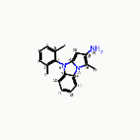 Cc1cccc(C)c1-n1c2ccccc2n2c(C)c(N)cc12